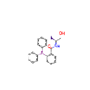 O=C(N[C@@H](I)CO)c1ccccc1P(c1ccccc1)c1ccccc1